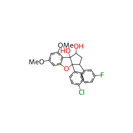 COc1cc(OC)c2c(c1)OC1(c3ccc(Cl)cc3)C(c3cccc(F)c3)CC(O)C21O